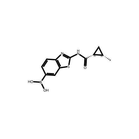 C[C@H]1C[C@H]1C(=O)Nc1nc2ccc(B(O)O)cc2s1